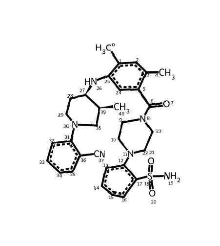 Cc1cc(C)c(C(=O)N2CCN(c3ccccc3S(N)(=O)=O)CC2)cc1N[C@@H]1CCN(c2ccccc2C#N)C[C@@H]1C